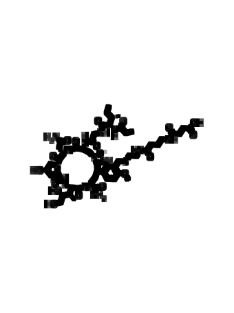 CCC(=O)N[C@H](C(=O)NCC(=O)N[C@H]1C[S+]([O-])c2[nH]c3c(CSCCNC(=O)CCCNC(=O)CCC(=O)O)c(OC)ccc3c2C[C@@H](C(N)=O)NC(=O)[C@H]([C@@H](C)[C@@H](O)CO)NC(=O)[C@@H]2C[C@@H](O)CN2C(=O)[C@H](CC(N)=O)NC1=O)[C@@H](C)CC